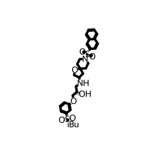 CCC(C)S(=O)(=O)c1cccc(OC[C@@H](O)CNC2COC3(CCN(S(=O)(=O)c4ccc5ccccc5c4)CC3)C2)c1